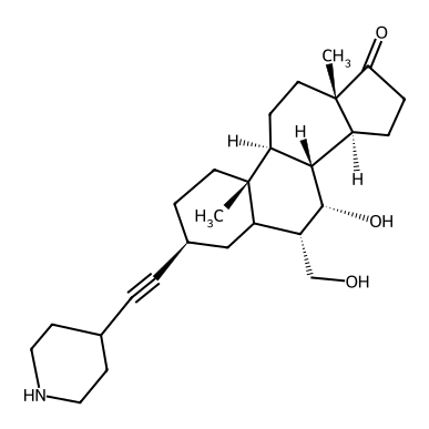 C[C@]12CC[C@H](C#CC3CCNCC3)CC1[C@@H](CO)[C@@H](O)[C@@H]1[C@@H]2CC[C@]2(C)C(=O)CC[C@@H]12